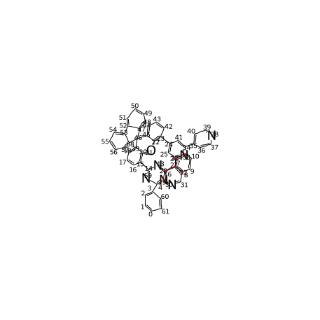 c1ccc(-c2nc(-c3ccccc3)nc(-c3cccc4c3Oc3c(-c5cc(-c6ccncc6)nc(-c6ccncc6)c5)cccc3C43c4ccccc4-c4ccccc43)n2)cc1